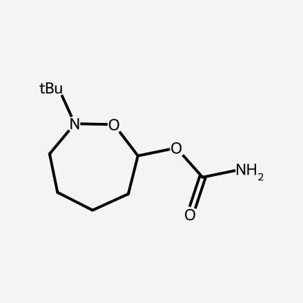 CC(C)(C)N1CCCCC(OC(N)=O)O1